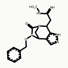 N=C(CC1c2[nH]ncc2C2CN1C(=O)N2OCc1ccccc1)NC(=O)O